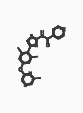 Cc1cncc(Oc2cc(C)c(-c3csc(NC(=O)c4ccncc4)n3)c(C)c2)n1